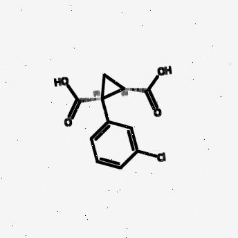 O=C(O)[C@H]1C[C@]1(C(=O)O)c1cccc(Cl)c1